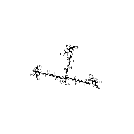 CC(=O)NC1C(O)[C@@H](O)C(CO)O[C@H]1OCCC(=O)NCCCNC(=O)CCOCC(COCCC(=O)NCCCNC(=O)CCO[C@@H]1OC(CO)[C@H](O)C(O)C1NC(C)=O)(COCCC(=O)NCCCNC(=O)CCO[C@@H]1OC(CO)[C@H](O)C(O)C1NC(C)=O)NC(C)C